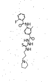 Cc1cc(C(=O)NNC(=S)NCCCN2CCCCC2)ccc1NC(=O)c1ccccc1F